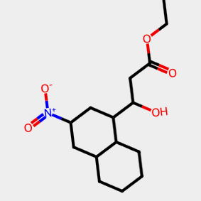 CCOC(=O)CC(O)C1CC([N+](=O)[O-])CC2CCCCC21